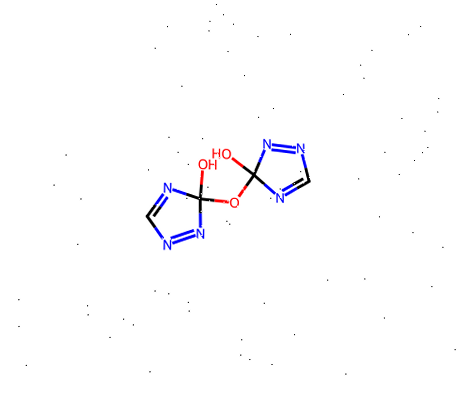 OC1(OC2(O)N=CN=N2)N=CN=N1